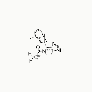 Cc1cccn2nc([C@@H]3c4nc[nH]c4CCN3C(=O)[C@H]3CC3(F)F)cc12